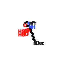 CCCCCCCCCCCCCCCCCC(=O)NC1COCCN1CCC.O=P(O)(O)O